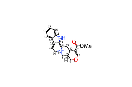 COC(=O)C1=COC[C@H]2C[n+]3ccc4c([nH]c5ccccc54)c3CC12